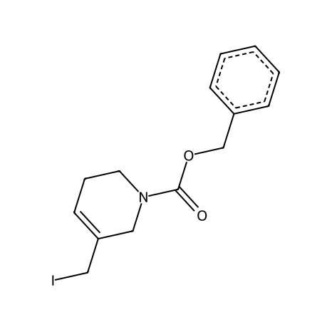 O=C(OCc1ccccc1)N1CCC=C(CI)C1